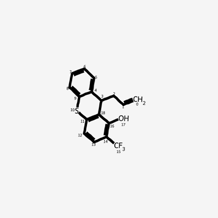 C=CCC1c2ccccc2Sc2ccc(C(F)(F)F)c(O)c21